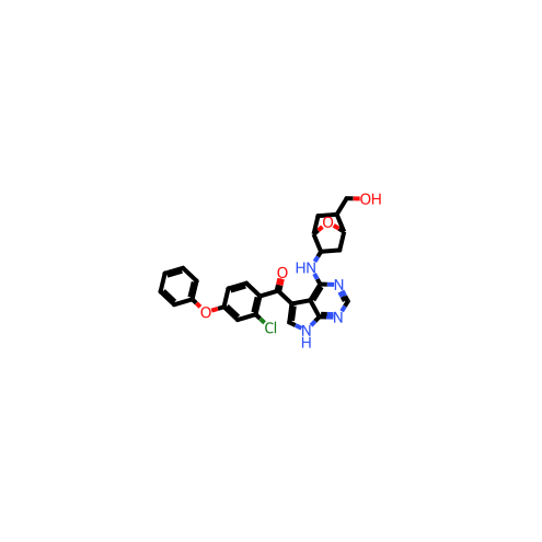 O=C(c1ccc(Oc2ccccc2)cc1Cl)c1c[nH]c2ncnc(NC3CC4OC3CC4CO)c12